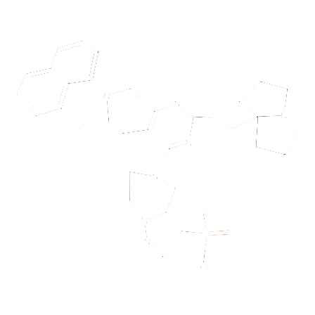 CCc1cccc2cccc(N3CCc4c(nc(OCC56CCCN5CCC6)nc4N4CCn5ncc(P(C)(C)=O)c5C4)C3)c12